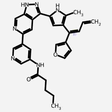 C=C/C=C(/c1ccoc1)c1cc(-c2n[nH]c3cnc(-c4cncc(NC(=O)CCCC)c4)cc23)[nH]c1C